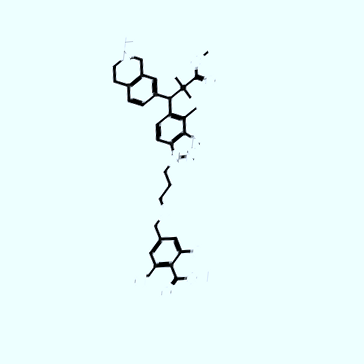 COC(=O)C(C)(C)C(c1ccc2c(c1)CNCC2)c1ccc2c(nnn2CCCOCc2cc(Cl)c(C(=O)O)c(Cl)c2)c1C